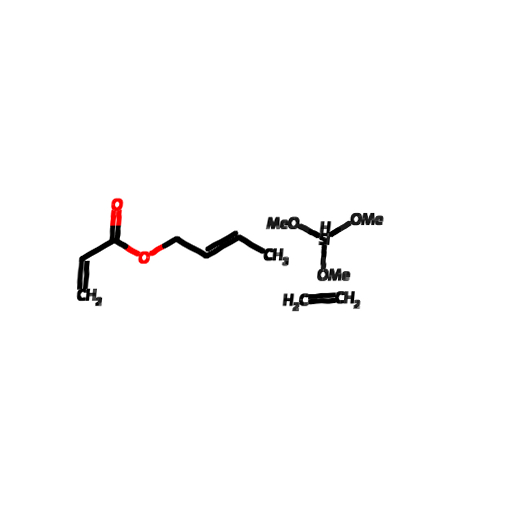 C=C.C=CC(=O)OCC=CC.CO[SiH](OC)OC